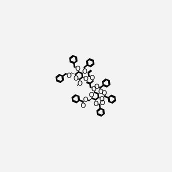 C=CC(OCC(=C)CO[C@@H]1O[C@H](COC(=O)c2ccccc2)[C@@H](OC(=O)c2ccccc2)[C@H](OC(=O)c2ccccc2)[C@H]1OC(=O)c1ccccc1)O[C@H]1[C@H](OC)O[C@H](COCc2ccccc2)[C@@H](OCc2ccccc2)[C@@H]1OCc1ccccc1